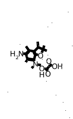 Cc1c(N)c(C)c(N(C)C)c2c1C(C)C(C)(C)O2.O=C(O)C(=O)O